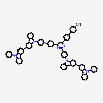 N#Cc1ccc(-c2ccc(-c3cc(-c4ccc(-c5ccc(-n6c7ccccc7c7cc(-c8ccc9c(c8)c8ccccc8n9-c8ccccc8)ccc76)cc5)cc4)nc(-c4ccc(-n5c6ccccc6c6cc(-c7ccc8c(c7)c7ccccc7n8-c7ccccc7)ccc65)cc4)n3)cc2)cc1